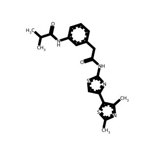 Cc1nc(C)c(-c2csc(NC(=O)Cc3cccc(NC(=O)C(C)C)c3)n2)s1